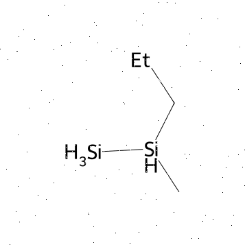 CCC[SiH](C)[SiH3]